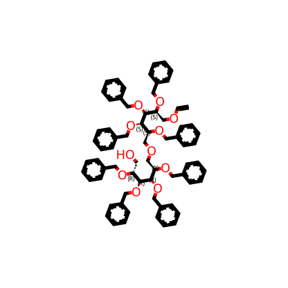 C=COC[C@H](OCc1ccccc1)[C@H](OCc1ccccc1)[C@@H](OCc1ccccc1)[C@H](COC[C@@H](OCc1ccccc1)[C@@H](OCc1ccccc1)[C@H](OCc1ccccc1)[C@@H](CO)OCc1ccccc1)OCc1ccccc1